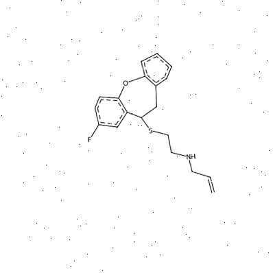 C=CCNCCSC1Cc2ccccc2Oc2ccc(F)cc21